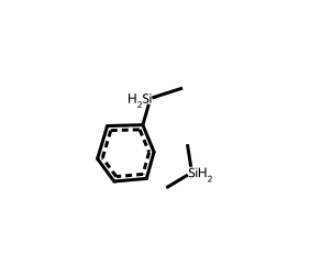 C[SiH2]C.C[SiH2]c1ccccc1